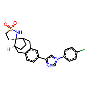 O=S1(=O)CC[C@]2(N1)C1CC[C@H]2Cc2ccc(-c3cn(-c4ccc(F)cc4)cn3)cc2C1